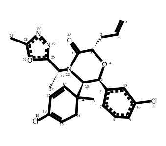 C=CC[C@@H]1O[C@@H](c2cccc(Cl)c2)[C@@H](C2(C)C=CC(Cl)=CC2)N([C@H](C)c2nnc(C)o2)C1=O